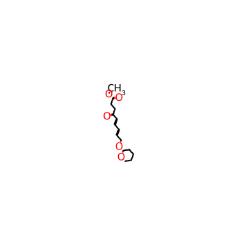 COC(=O)CCC(=O)/C=C/C=C/COC1CCCCO1